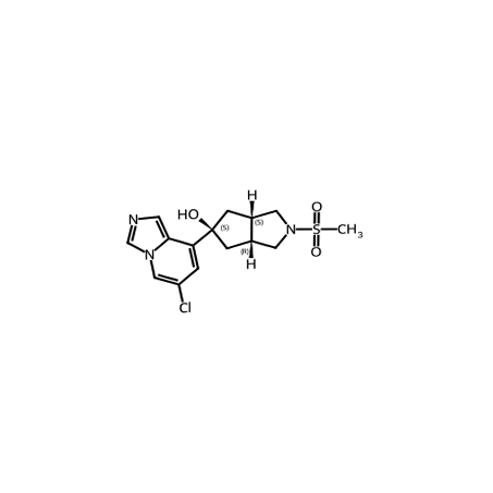 CS(=O)(=O)N1C[C@@H]2C[C@](O)(c3cc(Cl)cn4cncc34)C[C@@H]2C1